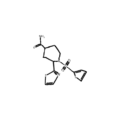 NC(=O)C1CCN(S(=O)(=O)c2cccs2)C(c2nccs2)C1